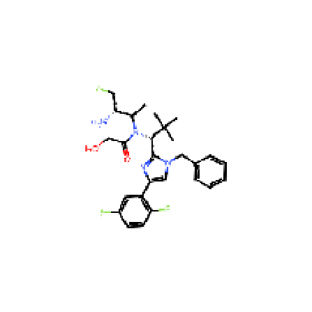 CC([C@H](N)CF)N(C(=O)CO)[C@@H](c1nc(-c2cc(F)ccc2F)cn1Cc1ccccc1)C(C)(C)C